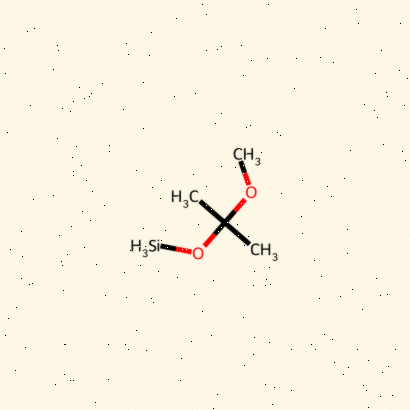 COC(C)(C)O[SiH3]